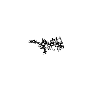 C=C(/C=C(\C=C/C)C(F)(F)F)NC(=O)Nc1ccc(Oc2ncnc3cc(OCCCN4CCC5(CC4)COC5)c(C(=C)[C@@H](N)CCSC)cc23)cc1Cl